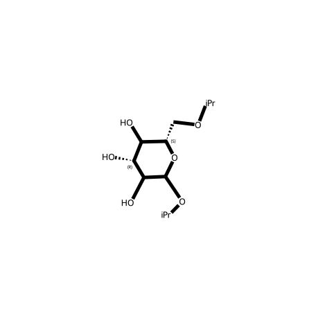 CC(C)OC[C@@H]1OC(OC(C)C)C(O)[C@H](O)C1O